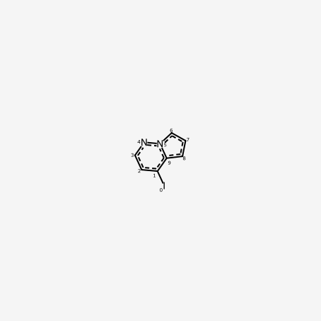 Ic1ccnn2cccc12